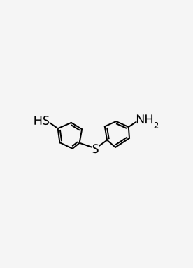 Nc1ccc(Sc2ccc(S)cc2)cc1